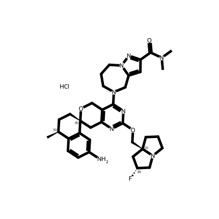 C[C@H]1CC[C@@]2(Cc3nc(OC[C@@]45CCCN4C[C@H](F)C5)nc(N4CCCn5nc(C(=O)N(C)C)cc5C4)c3CO2)c2cc(N)ccc21.Cl